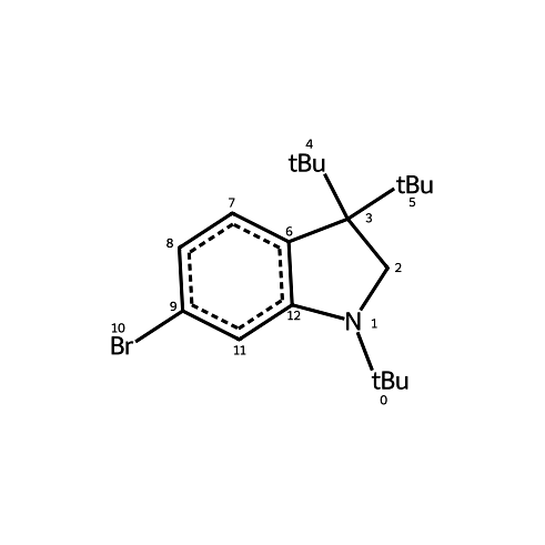 CC(C)(C)N1CC(C(C)(C)C)(C(C)(C)C)c2ccc(Br)cc21